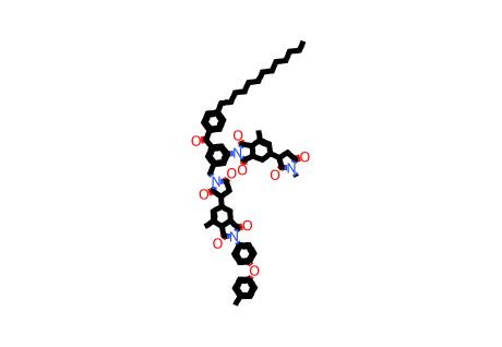 CCCCCCCCCCCCCc1ccc(C(=O)c2cc(CN3C(=O)CC(C4C=C(C)C5C(=O)N(c6ccc(Oc7ccc(C)cc7)cc6)C(=O)C5C4)C3=O)cc(N3C(=O)C4CC(C5CC(=O)N(C)C5=O)C=C(C)C4C3=O)c2)cc1